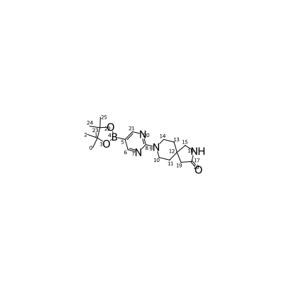 CC1(C)OB(c2cnc(N3CCC4(CC3)CNC(=O)C4)nc2)OC1(C)C